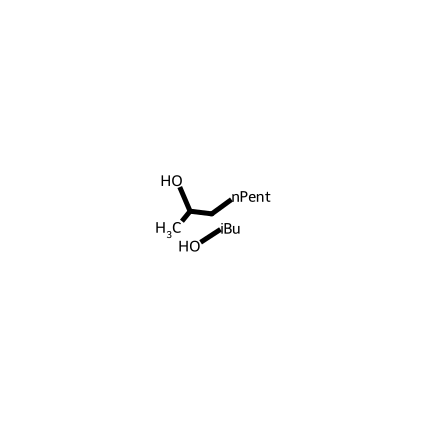 CCC(C)O.CCCCCCC(C)O